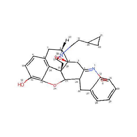 ON=C1C[C@@]2(O)[C@H]3Cc4ccc(O)c5c4[C@@]2(CCN3CC2CC2)C(O5)C1Cc1ccccc1